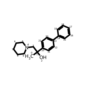 CC(O)(CN1CCCCC1)c1ccc(-c2ccccc2)cc1